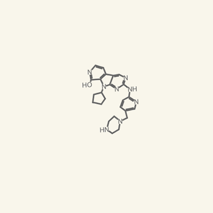 Oc1nccc2c3cnc(Nc4ccc(CN5CCNCC5)cn4)nc3n(C3CCCC3)c12